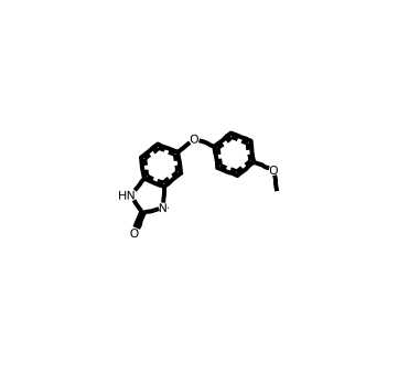 COc1ccc(Oc2ccc3c(c2)[N]C(=O)N3)cc1